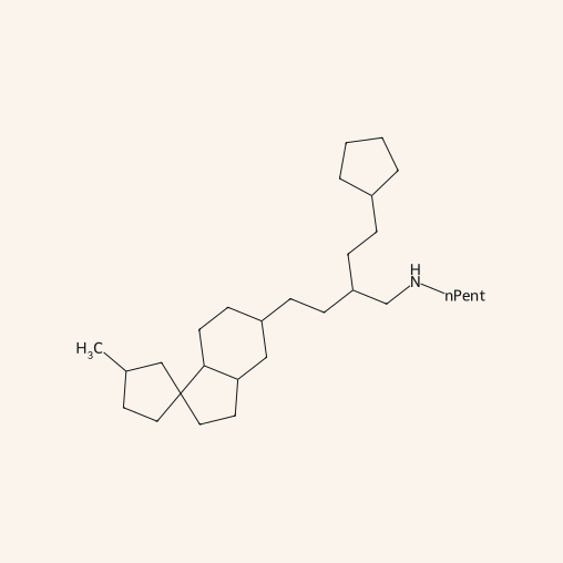 CCCCCNCC(CCC1CCCC1)CCC1CCC2C(CCC23CCC(C)C3)C1